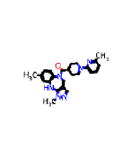 Cc1ccc2c(c1)Nc1c(cnn1C)CN2C(=O)C1CCN(c2cccc(C)n2)CC1